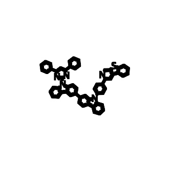 c1ccc(-c2cc(-c3ccccc3)nc(-n3c4ccccc4c4cc(-c5ccc6c7ccccc7n(-c7ccc(-c8cc9c(cn8)sc8ccccc89)cc7)c6c5)ccc43)n2)cc1